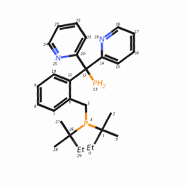 CCC(C)(C)P(Cc1ccccc1C(P)(c1ccccn1)c1ccccn1)C(C)(C)CC